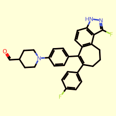 O=CC1CCN(c2ccc(C3=C(c4ccc(F)cc4)CCCc4c3ccc3[nH]nc(F)c43)cc2)CC1